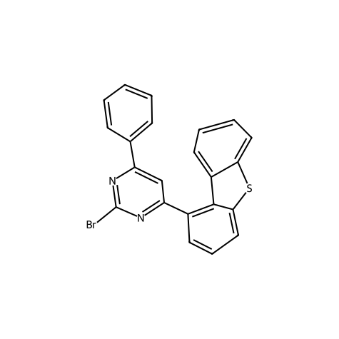 Brc1nc(-c2ccccc2)cc(-c2cccc3sc4ccccc4c23)n1